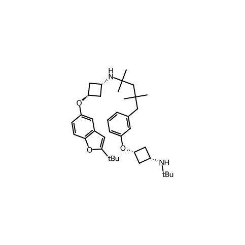 CC(C)(Cc1cccc(O[C@H]2C[C@@H](NC(C)(C)C)C2)c1)CC(C)(C)N[C@H]1C[C@H](Oc2ccc3oc(C(C)(C)C)cc3c2)C1